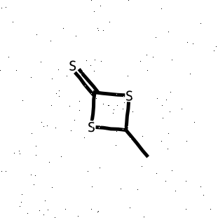 CC1SC(=S)S1